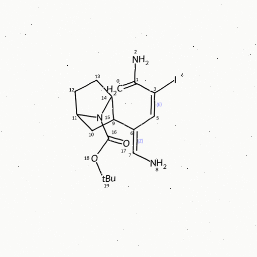 C=C(N)/C(I)=C\C(=C/N)C1CC2CCC1N2C(=O)OC(C)(C)C